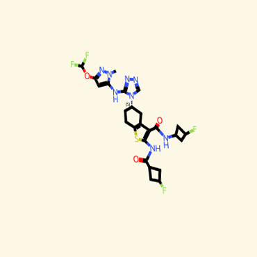 Cn1nc(OC(F)F)cc1Nc1nncn1[C@H]1CCc2sc(NC(=O)C3CC(F)C3)c(C(=O)NC3CC(F)C3)c2C1